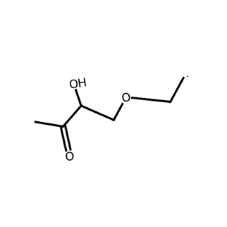 [CH2]COCC(O)C(C)=O